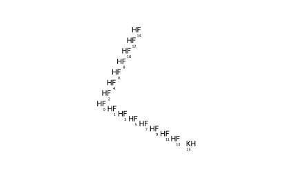 F.F.F.F.F.F.F.F.F.F.F.F.F.F.F.[KH]